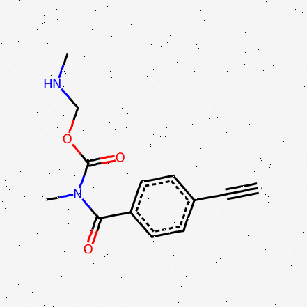 [C]#Cc1ccc(C(=O)N(C)C(=O)OCNC)cc1